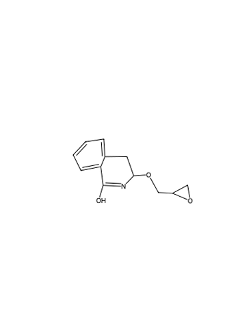 OC1=NC(OCC2CO2)Cc2ccccc21